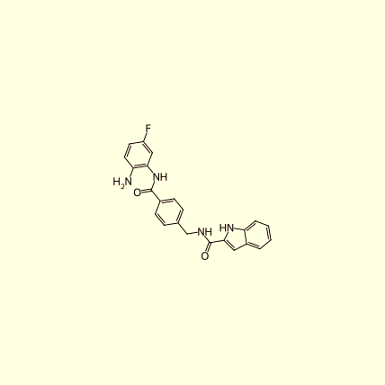 Nc1ccc(F)cc1NC(=O)c1ccc(CNC(=O)c2cc3ccccc3[nH]2)cc1